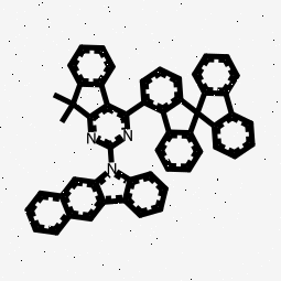 CC1(C)c2ccccc2-c2c(-c3cccc4c3-c3ccccc3C43c4ccccc4-c4ccccc43)nc(-n3c4ccccc4c4cc5ccccc5cc43)nc21